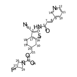 N#Cc1c(NC(=O)/C=C/c2cccnc2)sc2c1CCC(COC(=O)N1CC(F)C1)C2